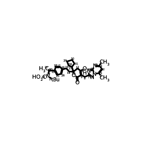 Cc1cc(C)n2nc(CC3=C(O)CC(CCc4ccc([C@@H](C)N(C(=O)O)C(C)(C)C)cc4)(C4CCCC4)OC3=O)nc2n1